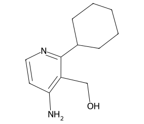 Nc1ccnc(C2CCCCC2)c1CO